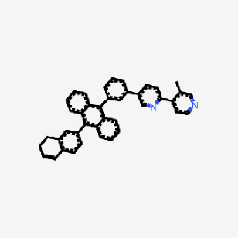 Cc1cnccc1-c1ccc(-c2cccc(-c3c4ccccc4c(-c4ccc5c(c4)CCC=C5)c4ccccc34)c2)cn1